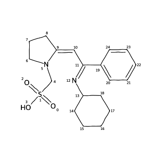 O=S(=O)(O)CN1CCCC1=CC(=NC1CCCCC1)c1ccccc1